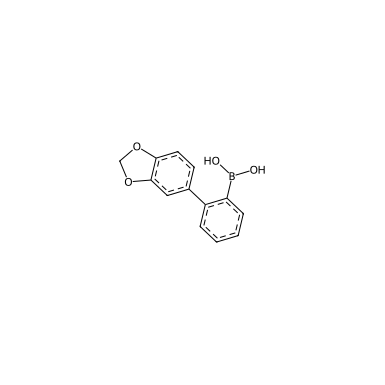 OB(O)c1ccccc1-c1ccc2c(c1)OCO2